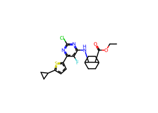 CCOC(=O)C1C2CCC(CC2)C1Nc1nc(Cl)nc(-c2ccc(C3CC3)s2)c1F